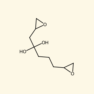 OC(O)(CCCC1CO1)CC1CO1